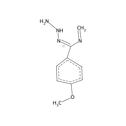 C=N/C(=N\NN)c1ccc(OC)cc1